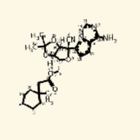 CC1(CC(=O)OC[C@H]2O[C@@](C#N)(c3ccc4c(N)ncnn34)[C@@H]3OC(C)(C)O[C@@H]32)CCCCC1